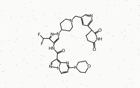 O=C1CCC(c2cncc(CN3CCC(n4cc(NC(=O)c5cnn6ccc(N7CCOCC7)nc56)c(C(F)F)n4)CC3)c2)C(=O)N1